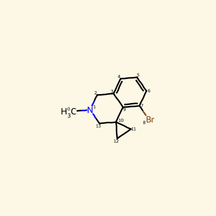 CN1Cc2cccc(Br)c2C2(CC2)C1